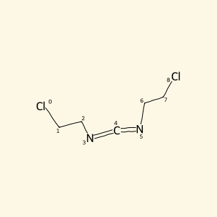 ClCCN=C=NCCCl